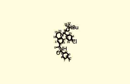 CC(NC(=O)c1ccc(F)cc1)c1ccc2c(c1)CCCN2C(CO[Si](C)(C)C(C)(C)C)c1ccc(Cl)cc1